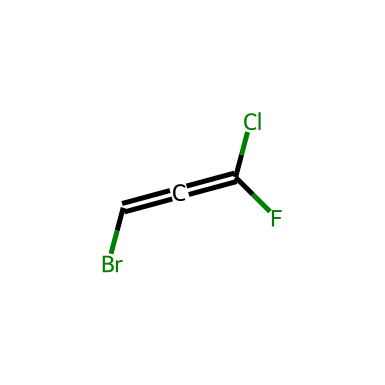 FC(Cl)=C=CBr